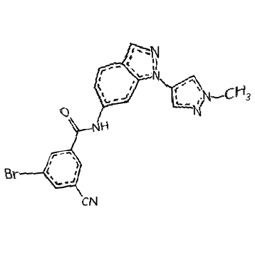 Cn1cc(-n2ncc3ccc(NC(=O)c4cc(Br)cc(C#N)c4)cc32)cn1